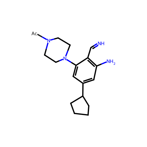 CC(=O)N1CCN(c2cc(C3CCCC3)cc(N)c2C=N)CC1